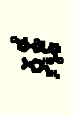 CC(C)N1CCC(CN)CC1.O=C(O)c1nccn1Cc1cc(-c2ccc(Cl)s2)on1